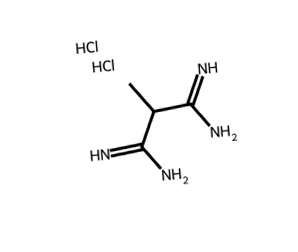 CC(C(=N)N)C(=N)N.Cl.Cl